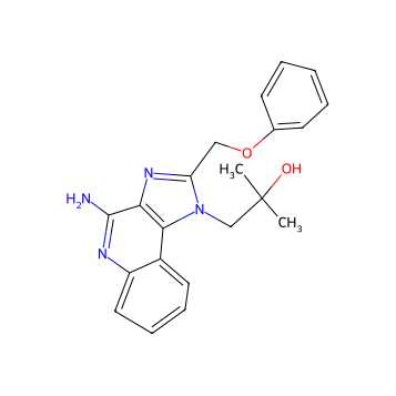 CC(C)(O)Cn1c(COc2ccccc2)nc2c(N)nc3ccccc3c21